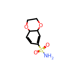 NS(=O)(=O)C1=CC2OCCOC2C=C1